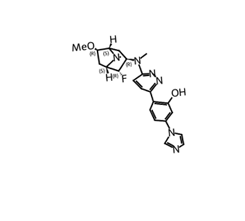 CO[C@@H]1C[C@H]2[C@@H](F)[C@H](N(C)c3ccc(-c4ccc(-n5ccnc5)cc4O)nn3)C[C@@H]1N2C